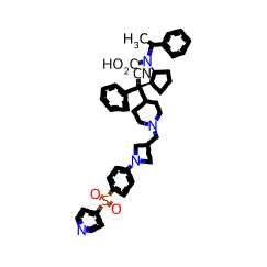 CC(c1ccccc1)N(C(=O)O)[C@@H]1CCC[C@H]1C(C#N)(c1ccccc1)C1CCN(CC2CN(c3ccc(S(=O)(=O)c4ccncc4)cc3)C2)CC1